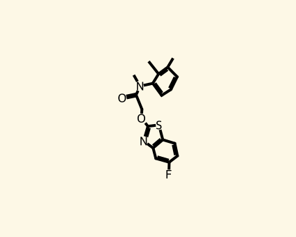 Cc1cccc(N(C)C(=O)COc2nc3cc(F)ccc3s2)c1C